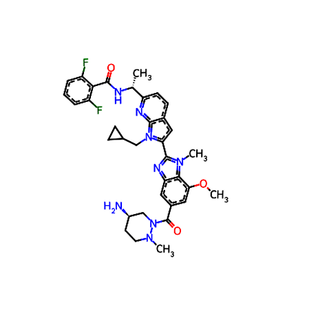 COc1cc(C(=O)N2C[C@H](N)CCN2C)cc2nc(-c3cc4ccc([C@@H](C)NC(=O)c5c(F)cccc5F)nc4n3CC3CC3)n(C)c12